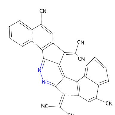 N#CC(C#N)=C1c2cc(C#N)c3ccccc3c2-c2c1nnc1c2C(=C(C#N)C#N)c2cc(C#N)c3ccccc3c2-1